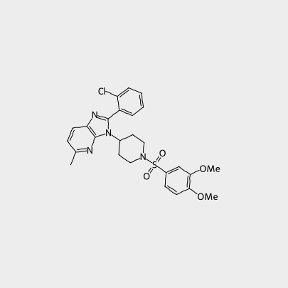 COc1ccc(S(=O)(=O)N2CCC(n3c(-c4ccccc4Cl)nc4ccc(C)nc43)CC2)cc1OC